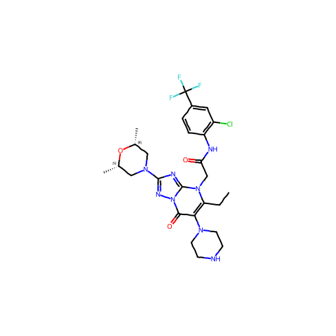 CCc1c(N2CCNCC2)c(=O)n2nc(N3C[C@@H](C)O[C@@H](C)C3)nc2n1CC(=O)Nc1ccc(C(F)(F)F)cc1Cl